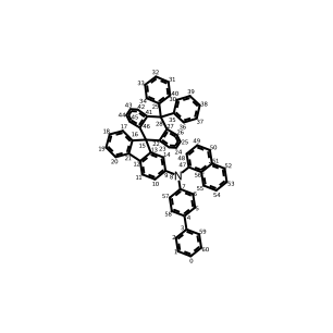 c1ccc(-c2ccc(N(c3ccc4c(c3)C3(c5ccccc5-4)c4ccccc4C(c4ccccc4)(c4ccccc4)c4ccccc43)c3cccc4ccccc34)cc2)cc1